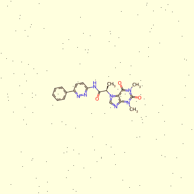 C[C@H](C(=O)Nc1ccc(-c2ccccc2)nn1)n1cnc2c1c(=O)n(C)c(=O)n2C